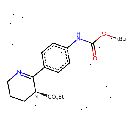 CCOC(=O)[C@H]1CCCN=C1c1ccc(NC(=O)OC(C)(C)C)cc1